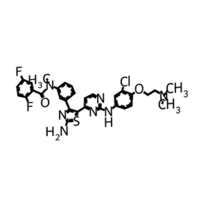 CN(C)CCOc1ccc(Nc2nccc(-c3sc(N)nc3-c3cccc(N(C)C(=O)c4cc(F)ccc4F)c3)n2)cc1Cl